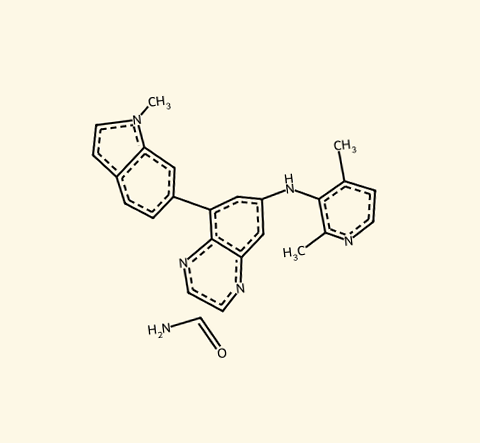 Cc1ccnc(C)c1Nc1cc(-c2ccc3ccn(C)c3c2)c2nccnc2c1.NC=O